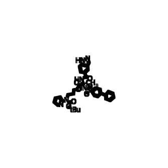 CC(C)(C)OC(=O)N(CCCOC(=O)[C@@](C)(NC(=O)c1ccc2[nH]ncc2c1)NS(=O)(=O)c1ccc(-c2ccccc2)cc1)c1ccccn1